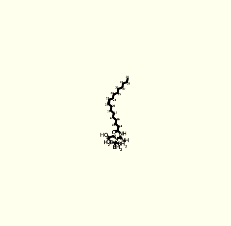 BC(B)(B)N(CC(=O)O)C(=N)NC(=O)CCCCCCC/C=C\CCCCCCCC